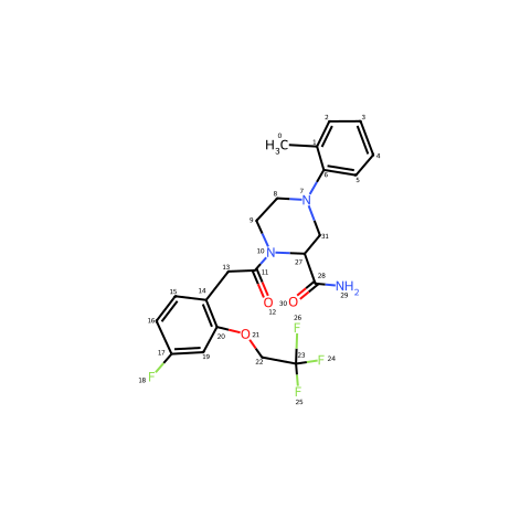 Cc1ccccc1N1CCN(C(=O)Cc2ccc(F)cc2OCC(F)(F)F)C(C(N)=O)C1